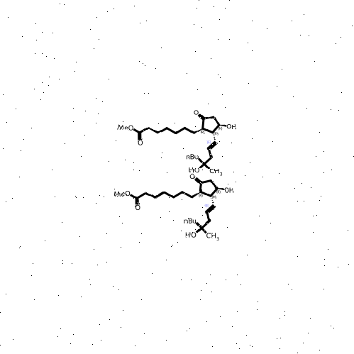 CCCCC(C)(O)C/C=C/[C@H]1[C@H](O)CC(=O)[C@@H]1CCCCCCC(=O)OC.CCCCC(C)(O)C/C=C/[C@H]1[C@H](O)CC(=O)[C@@H]1CCCCCCC(=O)OC